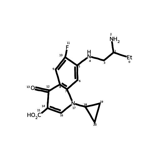 CCC(N)CNc1cc2c(cc1F)c(=O)c(C(=O)O)cn2C1CC1